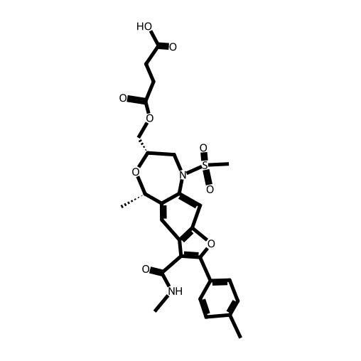 CNC(=O)c1c(-c2ccc(C)cc2)oc2cc3c(cc12)[C@H](C)O[C@H](COC(=O)CCC(=O)O)CN3S(C)(=O)=O